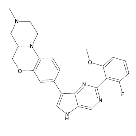 COc1cccc(F)c1-c1ncc2[nH]cc(-c3ccc4c(c3)OCC3CN(C)CCN43)c2n1